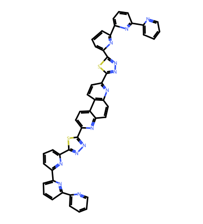 c1ccc(-c2cccc(-c3cccc(-c4nnc(-c5ccc6c(ccc7nc(-c8nnc(-c9cccc(-c%10cccc(-c%11ccccn%11)n%10)n9)s8)ccc76)n5)s4)n3)n2)nc1